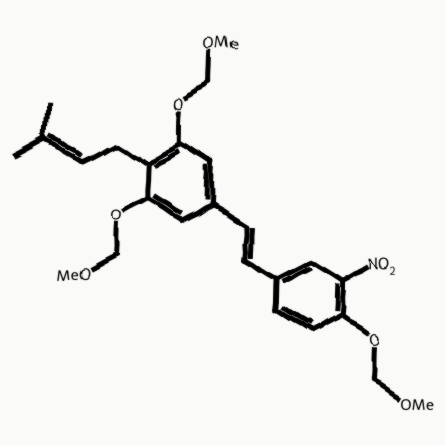 COCOc1ccc(C=Cc2cc(OCOC)c(CC=C(C)C)c(OCOC)c2)cc1[N+](=O)[O-]